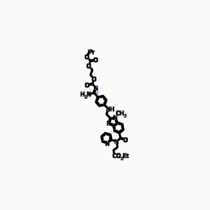 CCOC(=O)CCN(C(=O)c1ccc2c(c1)nc(CNc1ccc(/C(N)=N/C(=O)OCCOC(=O)OC(C)C)cc1)n2C)c1ccccn1